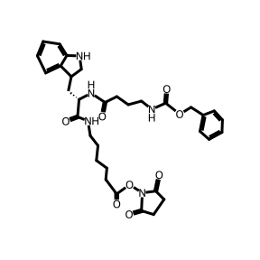 O=C(CCCNC(=O)OCc1ccccc1)N[C@@H](CC1CNc2ccccc21)C(=O)NCCCCCC(=O)ON1C(=O)CCC1=O